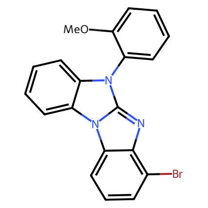 COc1ccccc1-n1c2ccccc2n2c3cccc(Br)c3nc12